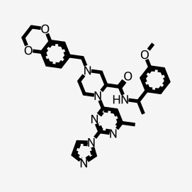 COc1cccc(C(C)NC(=O)C2CN(Cc3ccc4c(c3)OCCO4)CCN2c2cc(C)nc(-n3ccnc3)n2)c1